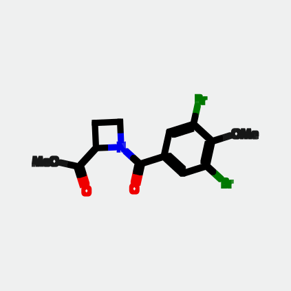 COC(=O)C1CCN1C(=O)c1cc(Br)c(OC)c(Br)c1